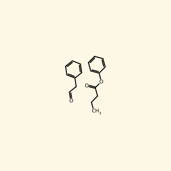 CCCC(=O)Oc1ccccc1.O=CCc1ccccc1